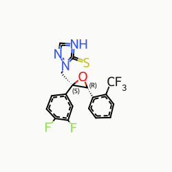 Fc1ccc([C@@]2(Cn3nc[nH]c3=S)O[C@@H]2c2ccccc2C(F)(F)F)cc1F